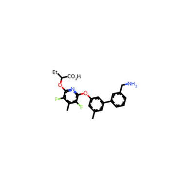 CCC(Oc1nc(Oc2cc(C)cc(-c3cccc(CN)c3)c2)c(F)c(C)c1F)C(=O)O